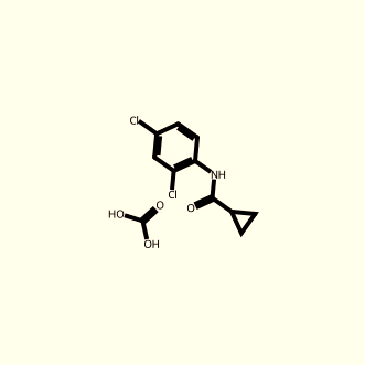 O=C(Nc1ccc(Cl)cc1Cl)C1CC1.O=C(O)O